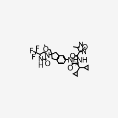 COCC1(N2CC(C(F)(F)F)NC2=O)Cc2ccc(NC(=O)[C@@H](NC(=O)c3nonc3C)C(C3CC3)C3CC3)cc2C1